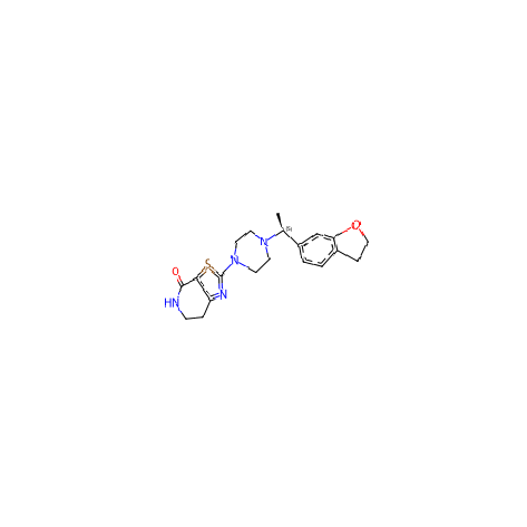 C[C@@H](c1ccc2c(c1)OCC2)N1CCN(c2nc3c(s2)C(=O)NCC3)CC1